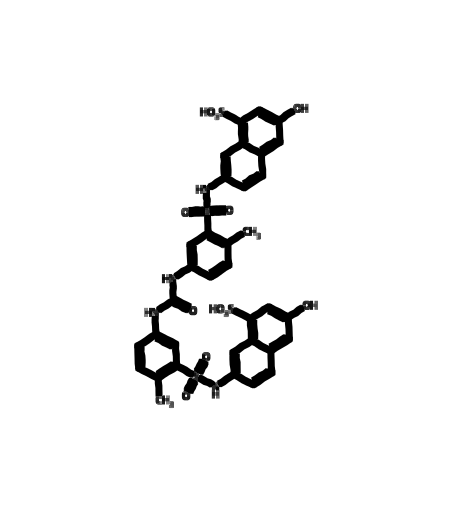 Cc1ccc(NC(=O)Nc2ccc(C)c(S(=O)(=O)Nc3ccc4cc(O)cc(S(=O)(=O)O)c4c3)c2)cc1S(=O)(=O)Nc1ccc2cc(O)cc(S(=O)(=O)O)c2c1